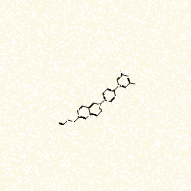 C=CCCc1ccc2cc(-c3ccc(-c4cc(F)cc(F)c4)cc3)ccc2c1